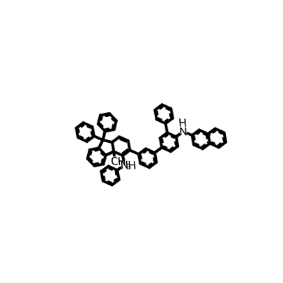 CC12C(Nc3ccccc3)=C(c3cccc(-c4ccc(Nc5ccc6ccccc6c5)c(-c5ccccc5)c4)c3)C=CC1C(c1ccccc1)(c1ccccc1)c1ccccc12